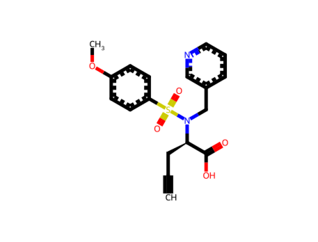 C#CC[C@H](C(=O)O)N(Cc1cccnc1)S(=O)(=O)c1ccc(OC)cc1